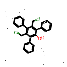 Oc1c(-c2ccccc2)c(CCl)c(-c2ccccc2)c(CCl)c1-c1ccccc1